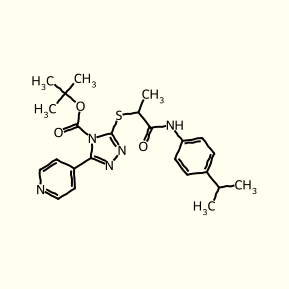 CC(Sc1nnc(-c2ccncc2)n1C(=O)OC(C)(C)C)C(=O)Nc1ccc(C(C)C)cc1